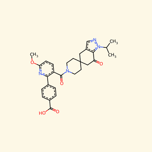 COc1ccc(C(=O)N2CCC3(CC2)CC(=O)c2c(cnn2C(C)C)C3)c(-c2ccc(C(=O)O)cc2)n1